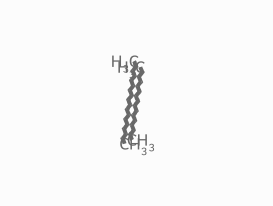 CCCCCCCCCCCCCCCC.CCCCCCCCCCCCCCCCCC